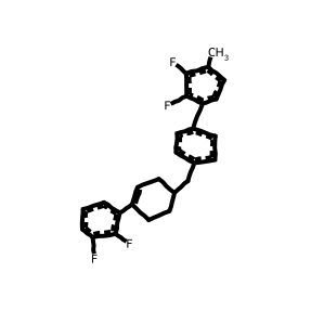 Cc1ccc(-c2ccc(CC3CC=C(c4cccc(F)c4F)CC3)cc2)c(F)c1F